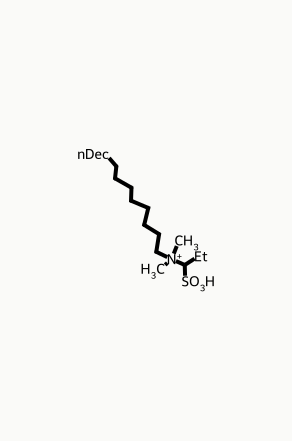 CCCCCCCCCCCCCCCCCC[N+](C)(C)C(CC)S(=O)(=O)O